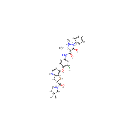 Cc1c(C(=O)Nc2ccc(Oc3ccnc4c3SC(C(=O)N3CCC5(CC5)C3)C4)c(F)c2)c(=O)n(-c2ccccc2)n1C